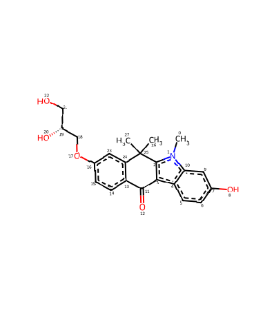 Cn1c2c(c3ccc(O)cc31)C(=O)c1ccc(OC[C@H](O)CO)cc1C2(C)C